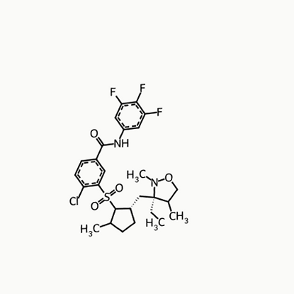 CC[C@@]1(C[C@@H]2CCC(C)C2S(=O)(=O)c2cc(C(=O)Nc3cc(F)c(F)c(F)c3)ccc2Cl)C(C)CON1C